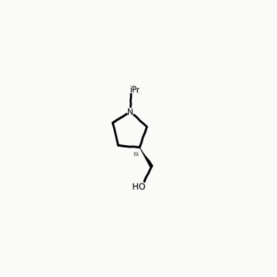 CC(C)N1CC[C@H](CO)C1